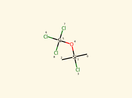 C[Si](C)(Cl)O[Si](Cl)(Cl)Cl